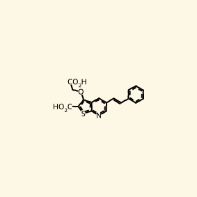 O=C(O)COc1c(C(=O)O)sc2ncc(C=Cc3ccccc3)cc12